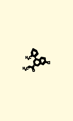 C=CC(=O)N1Cc2cc(Cl)ccc2[C@H](c2ccccc2C)C1